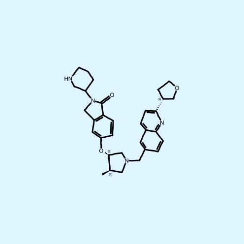 C[C@@H]1CN(Cc2ccc3nc([C@@H]4CCOC4)ccc3c2)C[C@H]1Oc1ccc2c(c1)CN(C1CCCNC1)C2=O